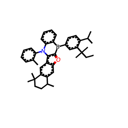 CCC(C)(C)c1cc(B2c3ccccc3N(c3ccccc3C)c3c2oc2cc4c(cc32)C(C)(C)CCC4C)ccc1C(C)C